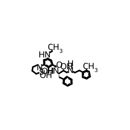 CCNc1cc(C(=O)N[C@@H](Cc2ccccc2)[C@H](O)CNCCc2ccccc2C)cc(N2CCCCS2(O)O)c1